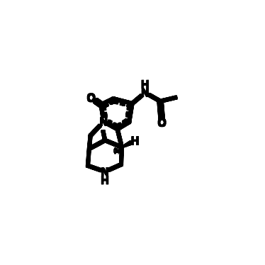 CC(=O)Nc1cc2n(c(=O)c1)CC1CNC[C@@H]2C1C